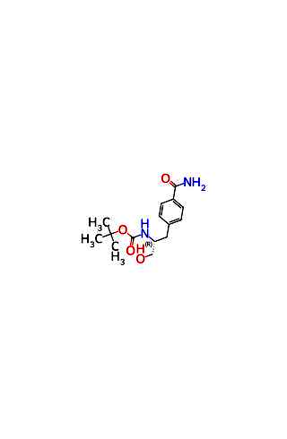 CC(C)(C)OC(=O)N[C@@H](CO)Cc1ccc(C(N)=O)cc1